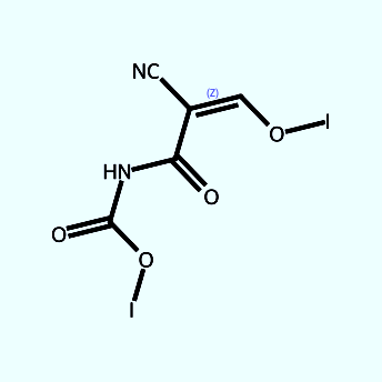 N#C/C(=C/OI)C(=O)NC(=O)OI